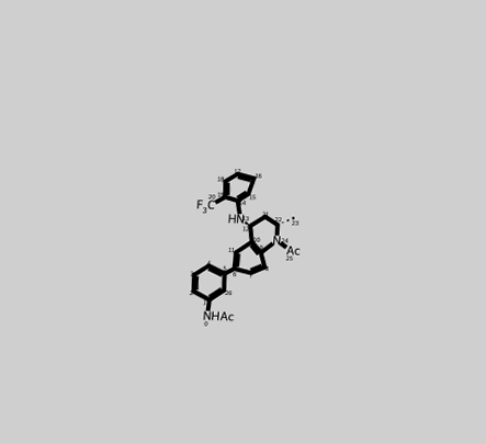 CC(=O)Nc1cccc(-c2ccc3c(c2)[C@H](Nc2ccccc2C(F)(F)F)C[C@H](C)N3C(C)=O)c1